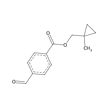 CC1(COC(=O)c2ccc(C=O)cc2)CC1